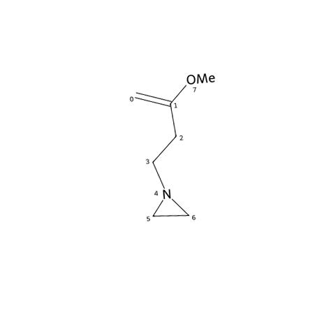 C=C(CCN1CC1)OC